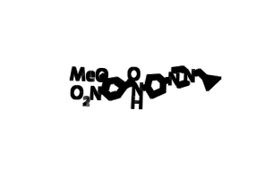 COc1cc(C(=O)NC2CCC(N3CCN(CC4CC4)CC3)CC2)ccc1[N+](=O)[O-]